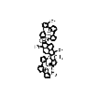 Cc1ccc(C)c(N(c2cccc(-c3cccc(-c4ccccc4C(C)C)c3)c2O)c2cc(C(C)C)c3ccc4c(N(c5cc(C)ccc5C)c5cccc6c5oc5c(-c7ccccc7C(C)C)cccc56)cc(C(C)C)c5ccc2c3c54)c1